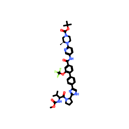 COC(=O)NC(C(=O)N1CCCC1c1nc(-c2ccc(-c3ccc(C(=O)Nc4ccc(N5CCN(C(=O)OC(C)(C)C)C[C@H]5C)nc4)cc3OC(F)(F)F)cc2)c[nH]1)C(C)C